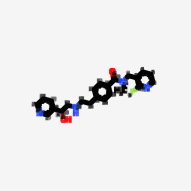 CN(Cc1cccnc1F)C(=O)c1ccc(CCNC[C@H](O)c2cccnc2)cc1